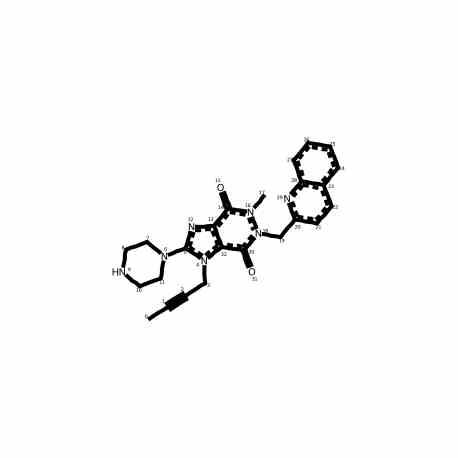 CC#CCn1c(N2CCNCC2)nc2c(=O)n(C)n(Cc3ccc4ccccc4n3)c(=O)c21